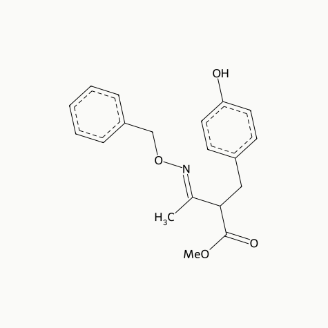 COC(=O)C(Cc1ccc(O)cc1)C(C)=NOCc1ccccc1